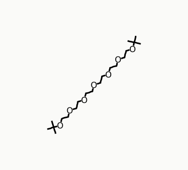 CC(C)(C)OCCOCCOCCOCCOCCOCCOC(C)(C)C